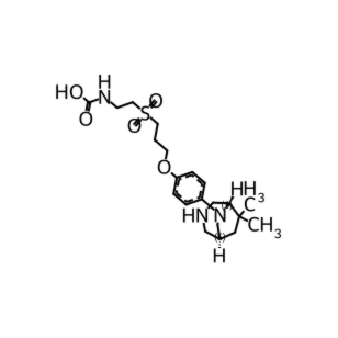 CC1(C)C[C@H]2CNC[C@H]1N(c1ccc(OCCCS(=O)(=O)CCNC(=O)O)cc1)C2